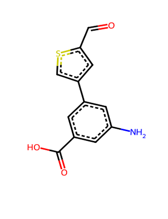 Nc1cc(C(=O)O)cc(-c2csc(C=O)c2)c1